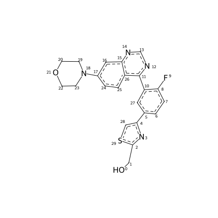 OCc1nc(-c2ccc(F)c(-c3ncnc4cc(N5CCOCC5)ccc34)c2)cs1